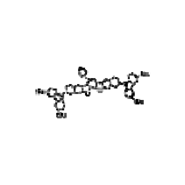 CC(C)(C)c1ccc2c(c1)c1cc(C(C)(C)C)ccc1n2-c1ccc2cc3c(cc2c1)oc1c3cc(-c2ccccc2)c2c3cc4ccc(-n5c6ccc(C(C)(C)C)cc6c6cc(C(C)(C)C)ccc65)cc4cc3oc12